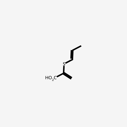 C=C(SC=CC)C(=O)O